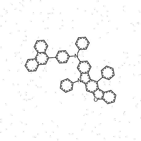 c1ccc(-c2c3c(cc4c2c2ccc(N(c5ccccc5)c5ccc(-c6cc7ccccc7c7ccccc67)cc5)cc2n4-c2ccccc2)oc2ccccc23)cc1